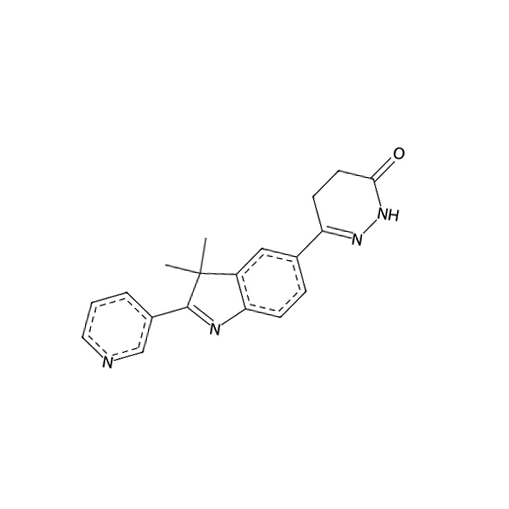 CC1(C)C(c2cccnc2)=Nc2ccc(C3=NNC(=O)CC3)cc21